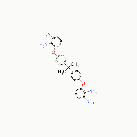 CC(C)(c1ccc(Oc2cccc(N)c2N)cc1)c1ccc(Oc2cccc(N)c2N)cc1